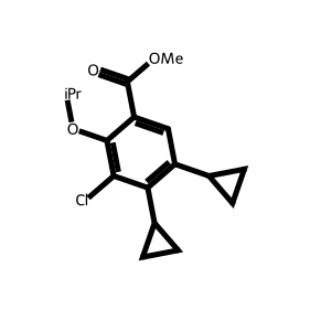 COC(=O)c1cc(C2CC2)c(C2CC2)c(Cl)c1OC(C)C